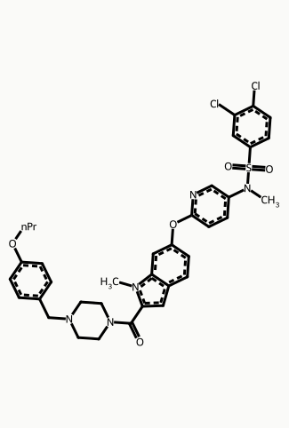 CCCOc1ccc(CN2CCN(C(=O)c3cc4ccc(Oc5ccc(N(C)S(=O)(=O)c6ccc(Cl)c(Cl)c6)cn5)cc4n3C)CC2)cc1